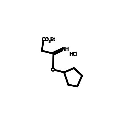 CCOC(=O)CC(=N)OC1CCCC1.Cl